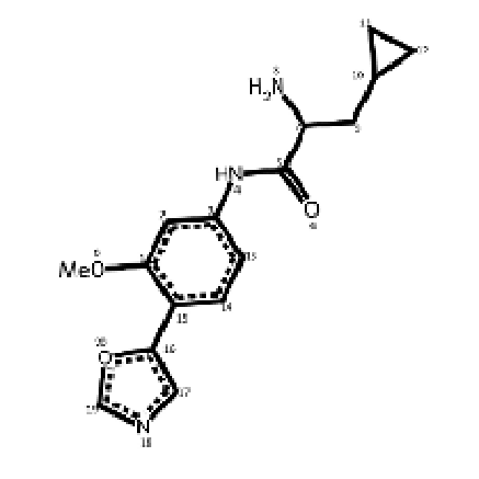 COc1cc(NC(=O)C(N)CC2CC2)ccc1-c1cnco1